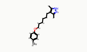 Cc1n[nH]c(C)c1CCCCCCOc1ccc(C(C)(C)C)cc1